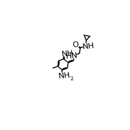 CC1=CC(=N)/C(=C\NCC(=O)NC2CC2)C=C1N